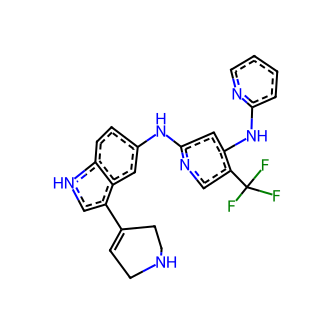 FC(F)(F)c1cnc(Nc2ccc3[nH]cc(C4=CCNCC4)c3c2)cc1Nc1ccccn1